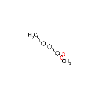 CCCCC[C@H]1CC[C@H](C2CCC(CCc3ccc(C(=O)OCC)cc3)CC2)CC1